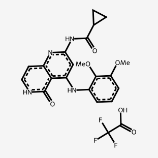 COc1cccc(Nc2cc(NC(=O)C3CC3)nc3cc[nH]c(=O)c23)c1OC.O=C(O)C(F)(F)F